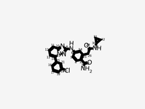 NC(=O)c1ccc(Nc2nc3cccc(-c4cccc(Cl)c4)n3n2)cc1CC(=O)NC1CC1